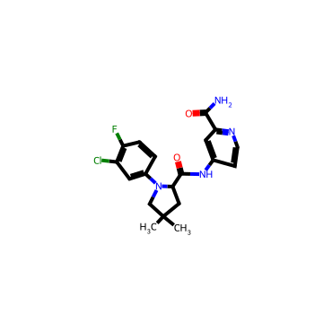 CC1(C)CC(C(=O)Nc2ccnc(C(N)=O)c2)N(c2ccc(F)c(Cl)c2)C1